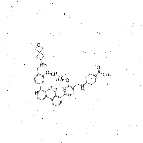 COc1cc(-c2nccc(-c3cccc(-c4ccc(CNC5CCN(C(C)=O)CC5)c(OC)n4)c3Cl)c2Cl)ccc1CNC1CC2(COC2)C1